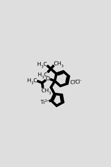 CC(C)OC1(CC2=[C]([Ti+2])CC=C2)CC=CC=C1C(C)(C)C.[Cl-].[Cl-]